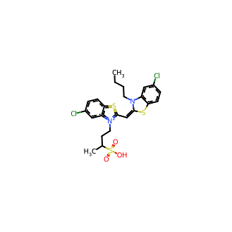 CCCCN1C(=Cc2sc3ccc(Cl)cc3[n+]2CCC(C)S(=O)(=O)O)Sc2ccc(Cl)cc21